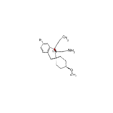 CO[C@H]1CC[C@]2(CC1)Cc1ccc(Br)cc1[C@]21N=C(C)C(N)=N1